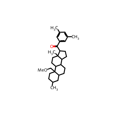 COCC12CCC(C)CC1CCC1C3CCC(C(=O)c4cc(C)cc(C)c4)C3(C)CCC12